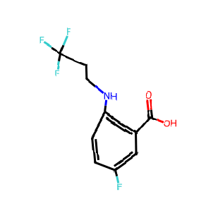 O=C(O)c1cc(F)ccc1NCCC(F)(F)F